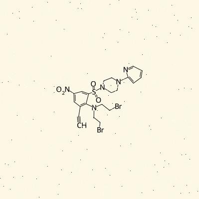 C#Cc1cc([N+](=O)[O-])cc(S(=O)(=O)N2CCN(c3ccccn3)CC2)c1N(CCBr)CCBr